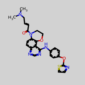 CN(C)C/C=C/C(=O)N1CCOc2c1ccc1ncnc(Nc3ccc(Oc4nccs4)cc3)c21